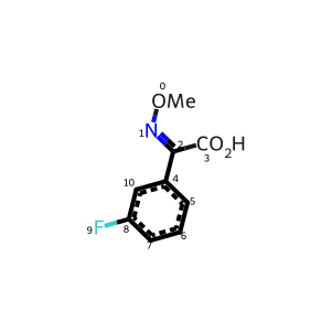 CON=C(C(=O)O)c1cccc(F)c1